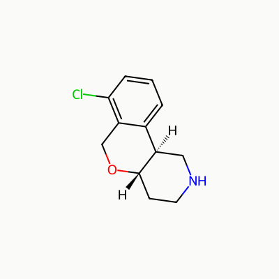 Clc1cccc2c1CO[C@H]1CCNC[C@H]21